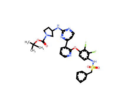 CC(C)(C)OC(=O)N1CCC(Nc2nccc(-c3cccnc3Oc3ccc(NS(=O)(=O)Cc4ccccc4)c(F)c3F)n2)C1